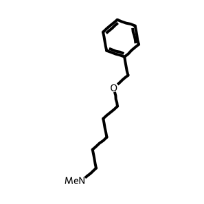 CNCCCCCOCc1ccccc1